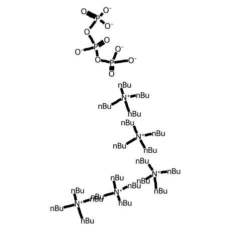 CCCC[N+](CCCC)(CCCC)CCCC.CCCC[N+](CCCC)(CCCC)CCCC.CCCC[N+](CCCC)(CCCC)CCCC.CCCC[N+](CCCC)(CCCC)CCCC.CCCC[N+](CCCC)(CCCC)CCCC.O=P([O-])([O-])OP(=O)([O-])OP(=O)([O-])[O-]